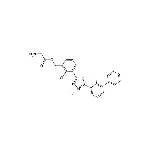 Cc1c(-c2ccccc2)cccc1-c1nnc(-c2cccc(COC(=O)CN)c2Cl)o1.Cl